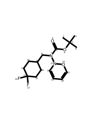 CC(C)(C)OC(=O)N(CC1CCC(F)(F)CC1)N1C=CC=CO1